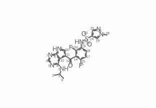 CC(C)Nc1ncnc2[nH]cc(C(=O)c3c(F)ccc(NS(=O)(=O)c4cnn(C)c4)c3F)c12